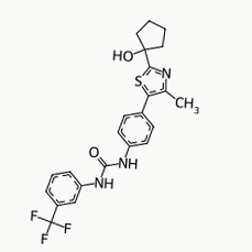 Cc1nc(C2(O)CCCC2)sc1-c1ccc(NC(=O)Nc2cccc(C(F)(F)F)c2)cc1